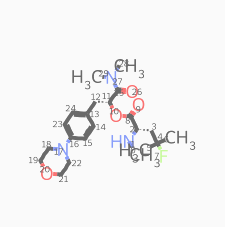 CN[C@@H](CC(C)(C)F)C(=O)O[C@H](Cc1ccc(N2CCOCC2)cc1)C(=O)N(C)C